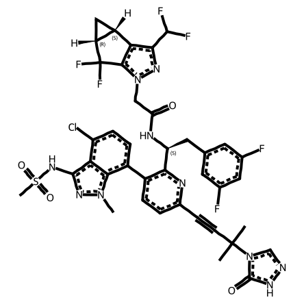 Cn1nc(NS(C)(=O)=O)c2c(Cl)ccc(-c3ccc(C#CC(C)(C)n4cn[nH]c4=O)nc3[C@H](Cc3cc(F)cc(F)c3)NC(=O)Cn3nc(C(F)F)c4c3C(F)(F)[C@@H]3C[C@H]43)c21